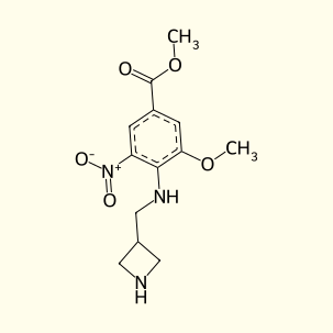 COC(=O)c1cc(OC)c(NCC2CNC2)c([N+](=O)[O-])c1